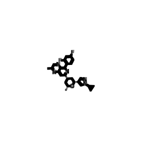 Cc1cnc2c(-c3ccc(F)cc3F)nc([C@H]3C[C@@H](C)O[C@@H](c4cnn(C5CC5)c4)C3)cc2n1